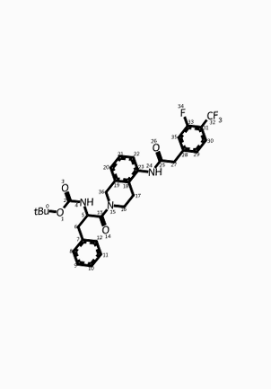 CC(C)(C)OC(=O)NC(Cc1ccccc1)C(=O)N1CCc2c(cccc2NC(=O)Cc2ccc(C(F)(F)F)c(F)c2)C1